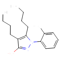 CCCCc1c(O)nn(-c2ccccc2C)c1CCCC